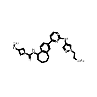 COCCn1cc(Nc2nccc(-c3ccc4c(c3)CCCCC4NC(=O)N3CC(OC(C)(C)C)C3)n2)cn1